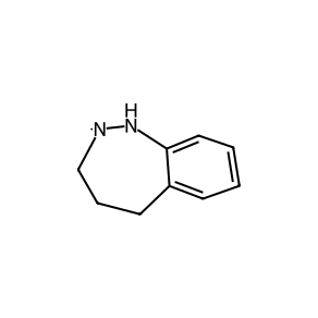 c1ccc2c(c1)CCC[N]N2